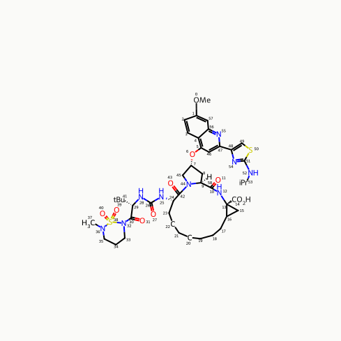 COc1ccc2c(O[C@@H]3C[C@H]4C(=O)N[C@]5(C(=O)O)CC5CCCCCCC[C@H](NC(=O)N[C@H](C(=O)N5CCCN(C)S5(=O)=O)C(C)(C)C)C(=O)N4C3)cc(-c3csc(NC(C)C)n3)nc2c1